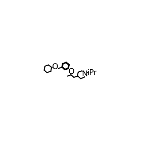 CC(CC1CCN(C(C)C)CC1)Oc1cccc(COC2CCCCC2)c1